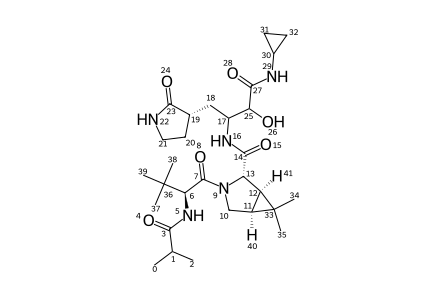 CC(C)C(=O)N[C@H](C(=O)N1C[C@H]2[C@@H]([C@H]1C(=O)NC(C[C@@H]1CCNC1=O)C(O)C(=O)NC1CC1)C2(C)C)C(C)(C)C